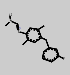 CCN(C)/C=N/c1cc(C)c(Cc2cccc(F)c2)cc1C